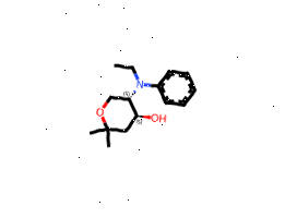 CCN(c1ccccc1)[C@H]1COC(C)(C)C[C@@H]1O